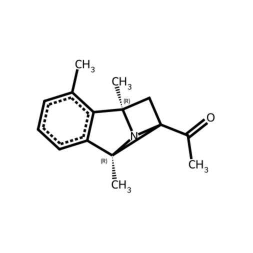 CC(=O)C12C[C@]3(C)c4c(C)cccc4[C@@]1(C)N23